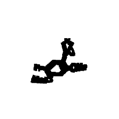 COc1cc(OC)c(C(C)C)cc1-c1cnco1